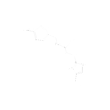 CCOC(=O)c1c[nH]c(SCC(=O)NCc2ccc(Cl)cc2)n1